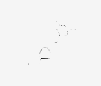 Cc1cc(COc2ccc(C[C]=O)cc2)nc(C)n1